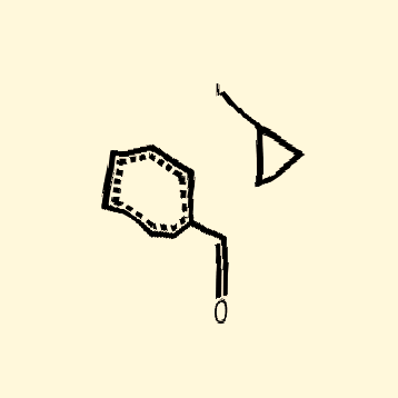 IC1CC1.O=Cc1ccccc1